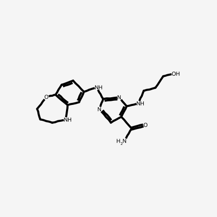 NC(=O)c1cnc(Nc2ccc3c(c2)NCCCO3)nc1NCCCO